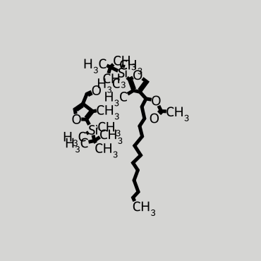 CCCCCCCCCCCCC(OC(C)=O)c1coc([Si](C)(C)C(C)(C)C)c1C.Cc1c(C=O)coc1[Si](C)(C)C(C)(C)C